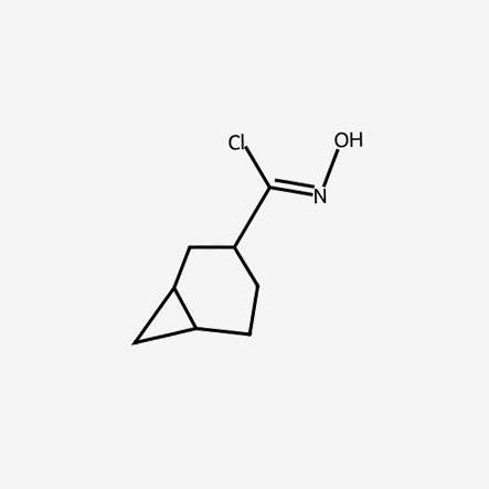 ON=C(Cl)C1CCC2CC2C1